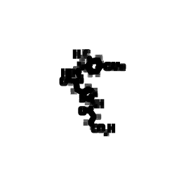 COc1ccc(/N=C2/NC(=O)/C(=C/c3cnc(NC(=O)CCC(=O)O)s3)S2)c(C)c1